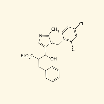 CCOC(=O)C(Cc1ccccc1)C(O)c1cnc(C)n1Cc1ccc(Cl)cc1Cl